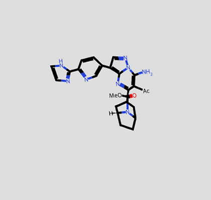 COC(=O)N1C2CC[C@H]1C[C@@H](c1nc3c(-c4ccc(-c5ncc[nH]5)nc4)cnn3c(N)c1C(C)=O)C2